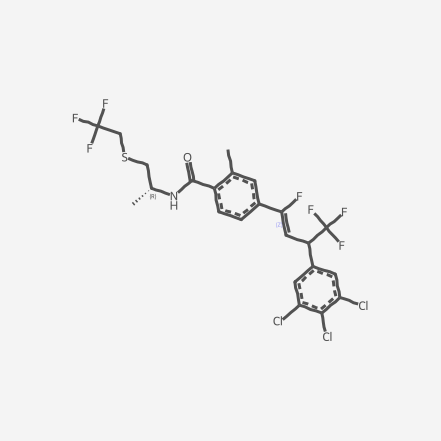 Cc1cc(/C(F)=C/C(c2cc(Cl)c(Cl)c(Cl)c2)C(F)(F)F)ccc1C(=O)N[C@H](C)CSCC(F)(F)F